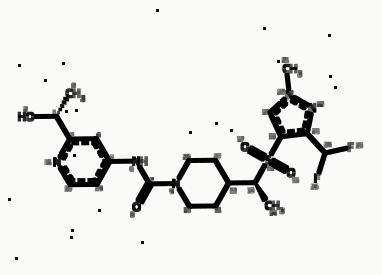 C[C@@H](O)c1cc(NC(=O)N2CCC([C@H](C)S(=O)(=O)c3cn(C)nc3C(F)F)CC2)ccn1